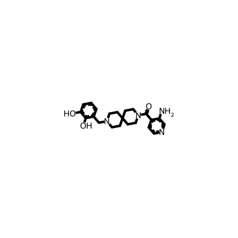 Nc1cnccc1C(=O)N1CCC2(CCN(Cc3cccc(O)c3O)CC2)CC1